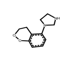 c1cc2c(c(N3CCNC3)c1)CCOO2